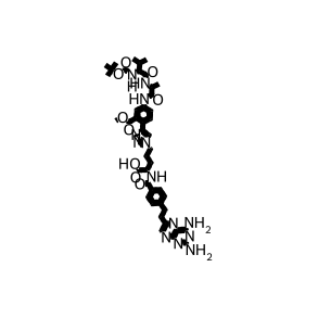 COC(=O)c1cc(NC(=O)C(C)NC(=O)C(NC(=O)OC(C)(C)C)C(C)C)ccc1-c1cn(CCCC(NC(=O)c2ccc(CCc3cnc4nc(N)nc(N)c4n3)cc2)C(=O)O)nn1